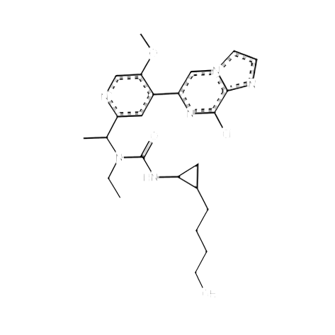 CCN(C(=O)NC1CC1CCCCO)C(C)c1cc(-c2cn3ccnc3c(Cl)n2)c(OC)cn1